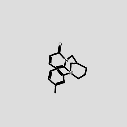 Cc1cccc([N+]23CCCC(Cn4c2cccc4=O)C3)c1